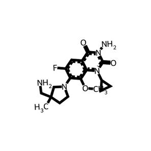 COc1c(N2CCC(C)(CN)C2)c(F)cc2c(=O)n(N)c(=O)n(C3CC3)c12